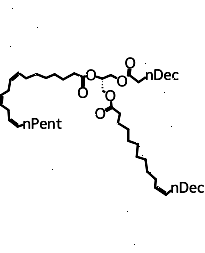 CCCCC/C=C\C/C=C\C/C=C\CCCCCCC(=O)O[C@@H](COC(=O)CCCCCCCCC/C=C\CCCCCCCCCC)COC(=O)CCCCCCCCCCC